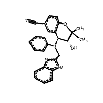 CC1(C)Oc2ccc(C#N)cc2[C@H](N(Cc2nc3ccccc3[nH]2)c2ccccc2)[C@H]1O